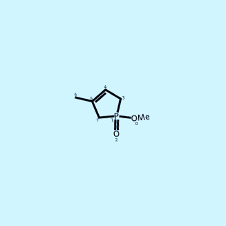 COP1(=O)CC=C(C)C1